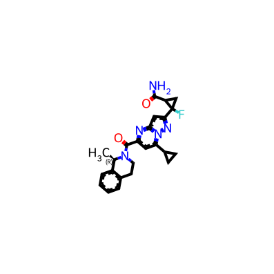 C[C@@H]1c2ccccc2CCN1C(=O)c1cc(C2CC2)n2nc(C3(F)CC3C(N)=O)cc2n1